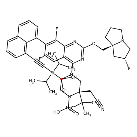 CC(C)[Si](C#Cc1cccc2cccc(-c3c(F)cc4c(N5CCN(C(=O)O)[C@@](CC#N)(C(C)(C)C)C5)nc(OC[C@@]56CCCN5C[C@H](F)C6)nc4c3F)c12)(C(C)C)C(C)C